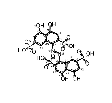 O=S(=O)(O)c1cc(O)c2c(O)cc(S(=O)(=O)O)c(N=Nc3c(S(=O)(=O)O)cc(O)c4c(O)cc(S(=O)(=O)O)cc34)c2c1